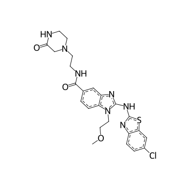 COCCn1c(Nc2nc3ccc(Cl)cc3s2)nc2cc(C(=O)NCCN3CCNC(=O)C3)ccc21